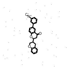 [C-]#[N+]c1cccc(-c2ccc3c(c2)C(=O)CC(C2COc4ccccc4C2)O3)c1